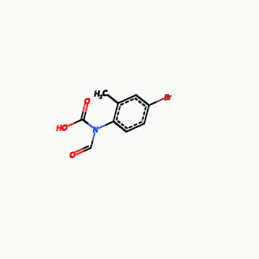 Cc1cc(Br)ccc1N(C=O)C(=O)O